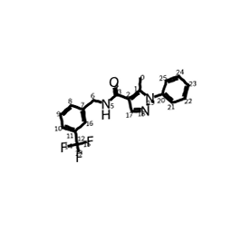 Cc1c(C(=O)NCc2cccc(C(F)(F)F)c2)cnn1-c1ccccc1